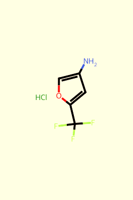 Cl.Nc1coc(C(F)(F)F)c1